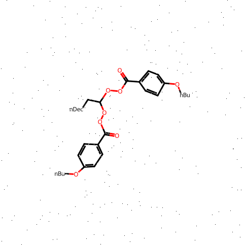 [CH2]CCCCCCCCCC[C](OOC(=O)c1ccc(OCCCC)cc1)OOC(=O)c1ccc(OCCCC)cc1